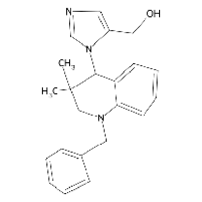 CC1(C)CN(Cc2ccccc2)c2ccccc2C1n1cncc1CO